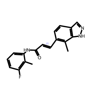 Cc1c(F)cccc1NC(=O)/C=C/c1ccc2cn[nH]c2c1C